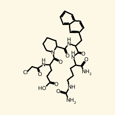 NC(=O)NCCCC(NC(=O)C(Cc1ccc2ccccc2c1)NC(=O)C1CCCCN1C(=O)C(CCC(=O)O)NC(=O)CCl)C(N)=O